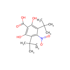 CC(C)(C)c1c(O)c(C(=O)O)c(O)c(C(C)(C)C)c1[N+](=O)[O-]